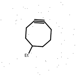 CCC1CCC#CCCC1